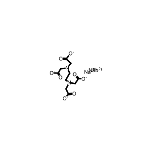 O=C([O-])CN(CCN(CC(=O)[O-])CC(=O)[O-])CC(=O)[O-].[Na+].[Na+].[Pb+2]